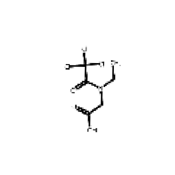 CCN(CC(=O)O)C(=O)C(Cl)(Cl)Cl